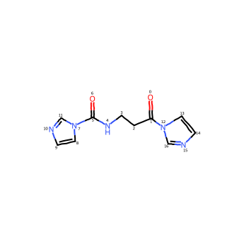 O=C(CCNC(=O)n1ccnc1)n1ccnc1